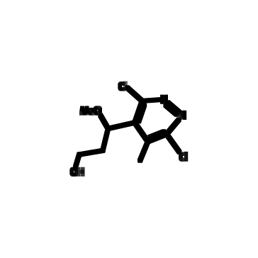 COC(CCO)c1c(Cl)nnc(Cl)c1C